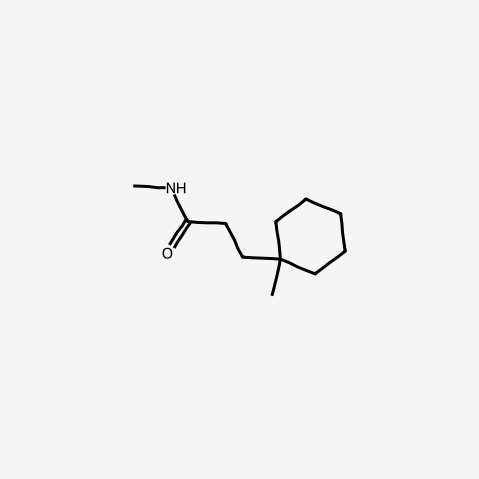 CNC(=O)CCC1(C)CCCCC1